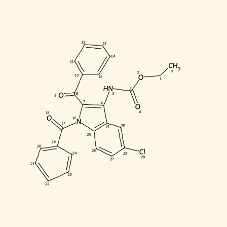 CCOC(=O)Nc1c(C(=O)c2ccccc2)n(C(=O)c2ccccc2)c2ccc(Cl)cc12